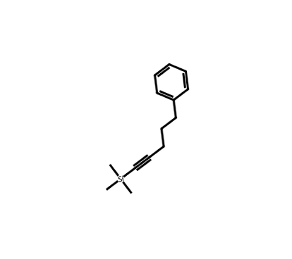 C[Si](C)(C)C#CCCCc1ccccc1